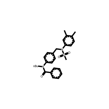 CCCCN(C(=O)c1ccccc1)c1ccc(CN(c2ccc(C)c(C)c2)S(C)(=O)=O)cc1